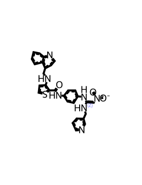 O=C(Nc1ccc(N/C(=C\[N+](=O)[O-])NCc2cccnc2)cc1)c1sccc1NCc1ccnc2ccccc12